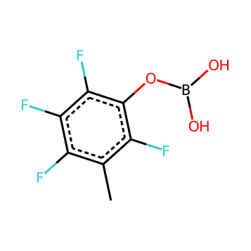 Cc1c(F)c(F)c(F)c(OB(O)O)c1F